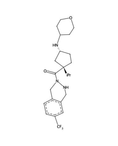 CC(C)[C@]1(C(=O)N2Cc3ccc(C(F)(F)F)cc3CN2)CC[C@@H](NC2CCOCC2)C1